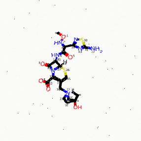 CONC(C(=O)N[C@@H]1C(=O)N2C(C(=O)[O-])=C(C[N+]34CCC(O)(CC3)C4)CS[C@@H]12)c1nsc(N)n1